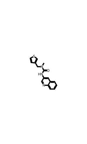 CN(Cc1ccsc1)C(=O)Nc1cnc2ccccc2c1